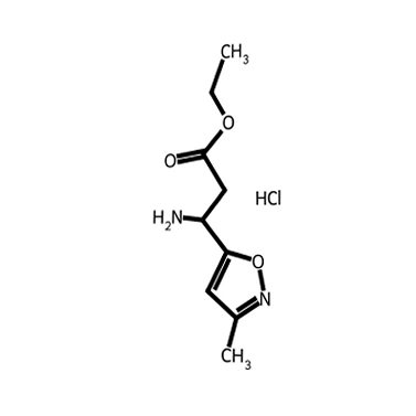 CCOC(=O)CC(N)c1cc(C)no1.Cl